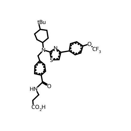 CC(C)(C)C1CCC(N(Cc2ccc(C(=O)NCCC(=O)O)cc2)c2nc(-c3ccc(OC(F)(F)F)cc3)cs2)CC1